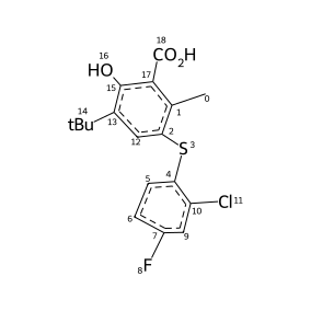 Cc1c(Sc2ccc(F)cc2Cl)cc(C(C)(C)C)c(O)c1C(=O)O